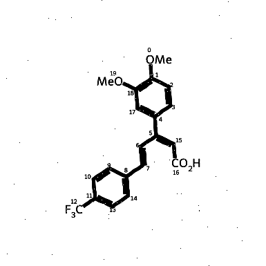 COc1ccc(C(C=Cc2ccc(C(F)(F)F)cc2)=CC(=O)O)cc1OC